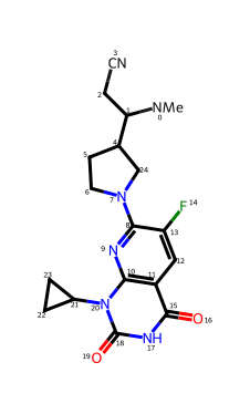 CNC(CC#N)C1CCN(c2nc3c(cc2F)c(=O)[nH]c(=O)n3C2CC2)C1